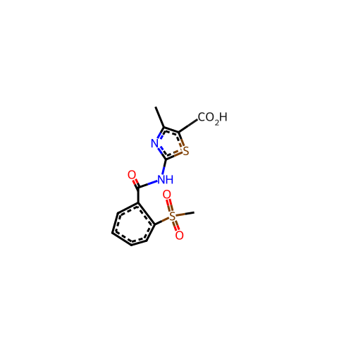 Cc1nc(NC(=O)c2ccccc2S(C)(=O)=O)sc1C(=O)O